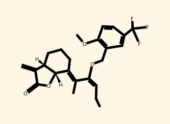 C=C1C(=O)O[C@H]2/C(=C(C)/C(=C\CC)OCc3cc(C(F)(F)F)ccc3OC)CCC[C@@H]12